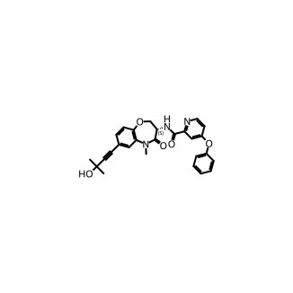 CN1C(=O)[C@@H](NC(=O)c2cc(Oc3ccccc3)ccn2)COc2ccc(C#CC(C)(C)O)cc21